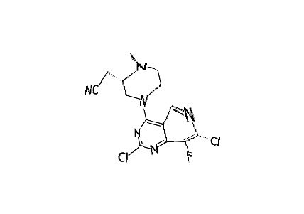 CN1CCN(c2nc(Cl)nc3c(F)c(Cl)ncc23)C[C@@H]1CC#N